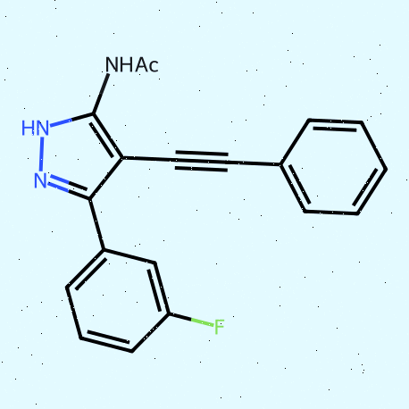 CC(=O)Nc1[nH]nc(-c2cccc(F)c2)c1C#Cc1ccccc1